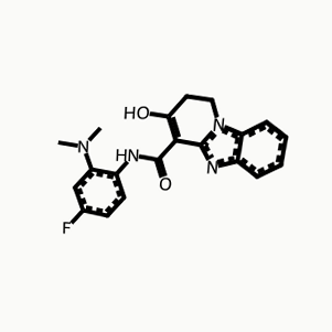 CN(C)c1cc(F)ccc1NC(=O)C1=C(O)CCn2c1nc1ccccc12